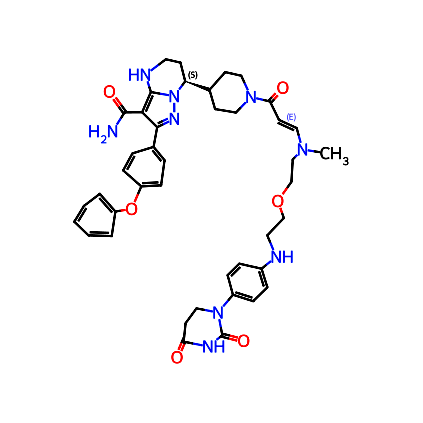 CN(/C=C/C(=O)N1CCC([C@@H]2CCNc3c(C(N)=O)c(-c4ccc(Oc5ccccc5)cc4)nn32)CC1)CCOCCNc1ccc(N2CCC(=O)NC2=O)cc1